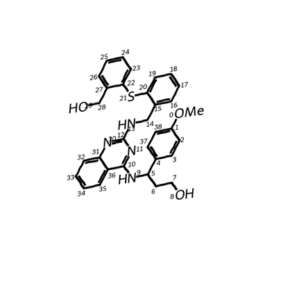 COc1ccc(C(CCO)Nc2nc(NCc3ccccc3Sc3ccccc3CO)nc3ccccc23)cc1